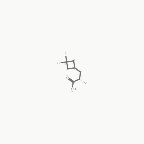 C[C@@H](CC1CC(F)(F)C1)C(=O)O